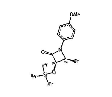 COc1ccc(N2C(=O)[C@H](O[Si](C(C)C)(C(C)C)C(C)C)[C@@H]2C(C)C)cc1